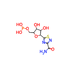 NC(=O)c1nsc(C2OC(COP(O)O)C(O)C2O)n1